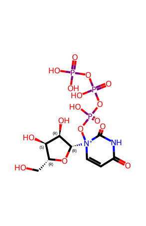 O=C1C=C[N+](OP(=O)(O)OP(=O)(O)OP(=O)(O)O)([C@@H]2O[C@H](CO)[C@@H](O)[C@H]2O)C(=O)N1